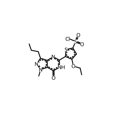 CCCc1nn(C)c2c(=O)[nH]c(-c3sc(S(=O)(=O)Cl)cc3OCC)nc12